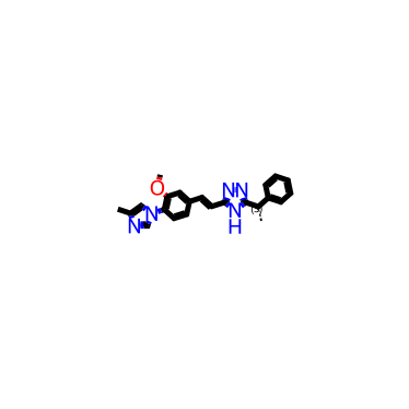 COc1cc(C=Cc2nnc([C@@H](C)c3ccccc3)[nH]2)ccc1-n1cnc(C)c1